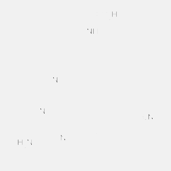 N#Cc1cccc(-c2cc(N3CCC(CNC(=O)O)C3)nc(N)n2)c1